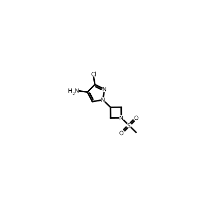 CS(=O)(=O)N1CC(n2cc(N)c(Cl)n2)C1